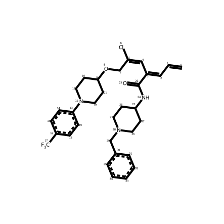 C=C/C=C(\C=C(\Cl)COC1CCN(c2ccc(C(F)(F)F)cc2)CC1)C(=O)NC1CCN(Cc2ccccc2)CC1